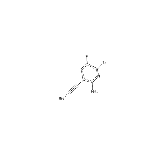 CC(C)(C)C#Cc1cc(F)c(Br)nc1N